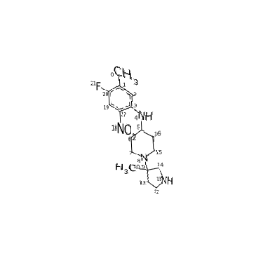 Cc1cc(NC2CCN(C3(C)CCNC3)CC2)c([N+](=O)[O-])cc1F